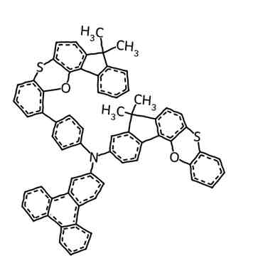 CC1(C)c2cc(N(c3ccc(-c4cccc5c4Oc4c(ccc6c4-c4ccccc4C6(C)C)S5)cc3)c3ccc4c5ccccc5c5ccccc5c4c3)ccc2-c2c1ccc1c2Oc2ccccc2S1